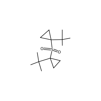 CC(C)(C)C1(S(=O)(=O)C2(C(C)(C)C)CC2)CC1